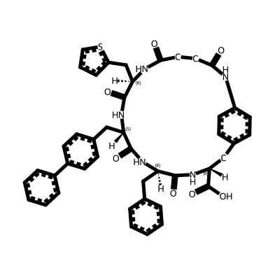 O=C1CCC(=O)N[C@H](Cc2cccs2)C(=O)N[C@@H](Cc2ccc(-c3ccccc3)cc2)C(=O)N[C@H](Cc2ccccc2)C(=O)N[C@@H](C(=O)O)Cc2ccc(cc2)N1